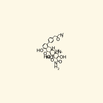 CN(C)CC(=O)Cc1ccc(-c2ccc(O)c3c2C[C@H]2C[C@H]4C(N(C)C)C(O)=C(C(N)=O)C(=O)[C@@]4(O)C(O)=C2C3=O)cc1